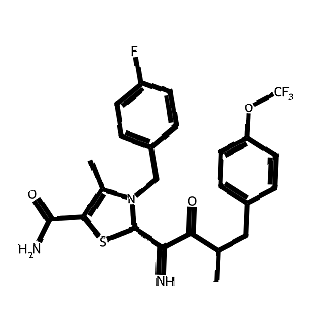 CC1=C(C(N)=O)SC(C(=N)C(=O)C(C)Cc2ccc(OC(F)(F)F)cc2)N1Cc1ccc(F)cc1